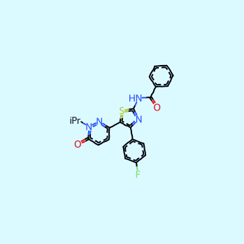 CC(C)n1nc(-c2sc(NC(=O)c3ccccc3)nc2-c2ccc(F)cc2)ccc1=O